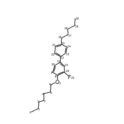 CCCCCCCOc1ccc(-c2ccc(CCCCC)cc2)cc1F